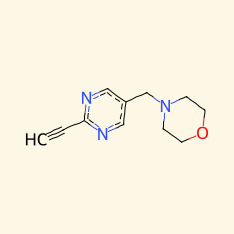 C#Cc1ncc(CN2CCOCC2)cn1